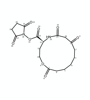 O=C1CCCCCC(=O)OCC[C@@H](C(=O)ON2C(=O)CCC2=O)NC(=O)C1